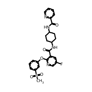 CS(=O)(=O)c1cccc(Oc2ncc(F)cc2C(=O)NC2CCC(NC(=O)c3ccccn3)CC2)c1